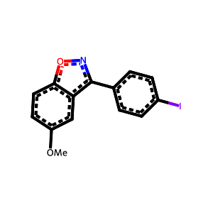 COc1ccc2onc(-c3ccc(I)cc3)c2c1